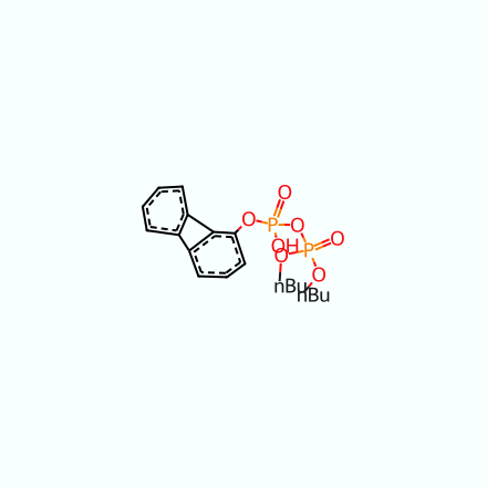 CCCCOP(=O)(OCCCC)OP(=O)(O)Oc1cccc2c1-c1ccccc1-2